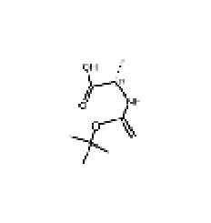 C=C(N[C@@H](C)C(=O)O)OC(C)(C)C